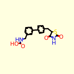 O=C(O)NCc1cccc(-c2ccc(CC3SC(=O)NC3=O)cc2)c1